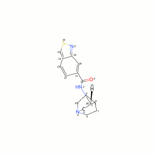 O=C(N[C@H]1CN2CCC1CC2)c1ccc2csnc2c1